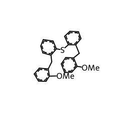 COc1ccccc1Cc1ccccc1Sc1ccccc1Cc1ccccc1OC